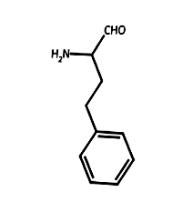 NC(C=O)CCc1ccccc1